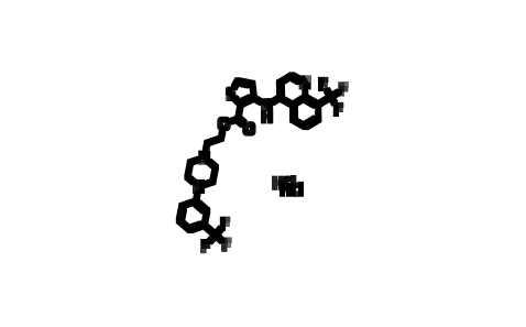 Cl.Cl.O=C(OCCN1CCN(c2cccc(C(F)(F)F)c2)CC1)c1sccc1Nc1ccnc2c(C(F)(F)F)cccc12